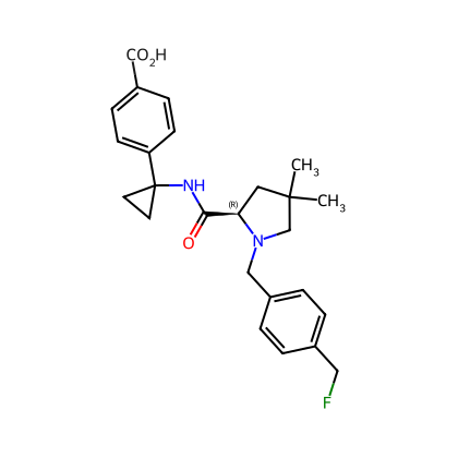 CC1(C)C[C@H](C(=O)NC2(c3ccc(C(=O)O)cc3)CC2)N(Cc2ccc(CF)cc2)C1